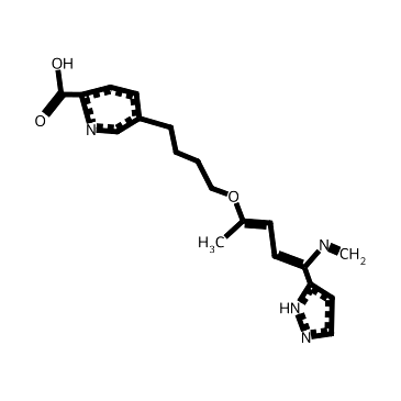 C=N/C(=C\C=C(/C)OCCCCc1ccc(C(=O)O)nc1)c1ccn[nH]1